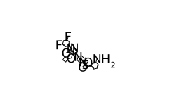 Nc1cccc(CS(=O)(=O)N2CCN(c3cnn(-c4cc(F)cc(F)c4)c(=O)c3OC3CCC3)CC2)c1